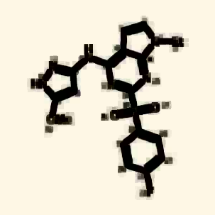 CCn1ccc2c(Nc3cc(OC)[nH]n3)nc(S(=O)(=O)c3ccc(F)cc3)nc21